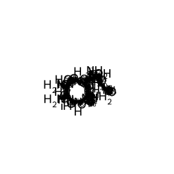 CC(C)C[C@@H]1NC(=O)[C@@H](Cc2ccccc2)NC(=O)[C@H](CCN)NC(=O)[C@@H](NC(=O)[C@H](CCN)NC(=O)[C@@H](NC(=O)CCCN2CCOCC2)C(C)O)CCNC(=O)[C@H](C(C)O)NC(=O)[C@H](CCN)NC(=O)[C@H](CCN)NC1=O